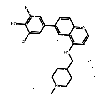 CN1CCC(CNc2[c]cnc3ccc(-c4cc(F)c(O)c(Cl)c4)cc23)CC1